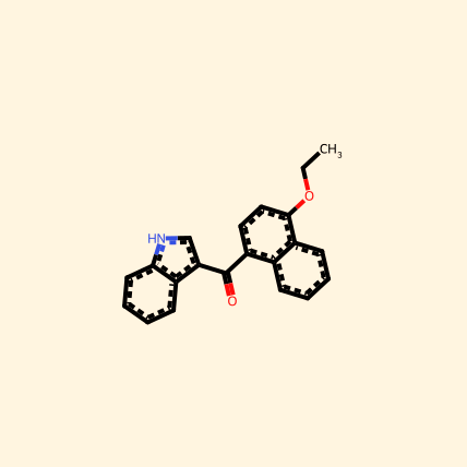 CCOc1ccc(C(=O)c2c[nH]c3ccccc23)c2ccccc12